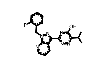 CC(C)c1nnc(-c2nn(Cc3ccccc3F)c3ncccc23)nc1O